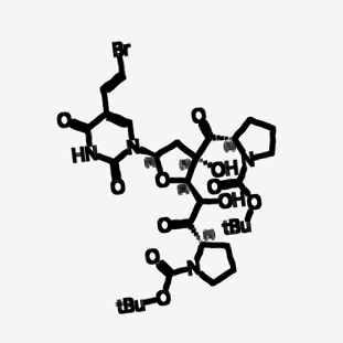 CC(C)(C)OC(=O)N1CCC[C@H]1C(=O)C(O)[C@H]1O[C@@H](n2cc(C=CBr)c(=O)[nH]c2=O)C[C@@]1(O)C(=O)[C@@H]1CCCN1C(=O)OC(C)(C)C